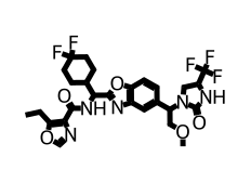 CCc1ocnc1C(=O)NC(c1nc2cc(C(COC)N3CC(C(F)(F)F)NC3=O)ccc2o1)C1CCC(F)(F)CC1